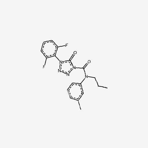 CCCN(C(=O)n1nnn(-c2c(F)cccc2F)c1=O)c1cccc(C)c1